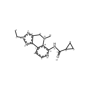 CCn1nc2c(n1)-c1ccnc(NC(=O)C3CC3)c1N(C)C2